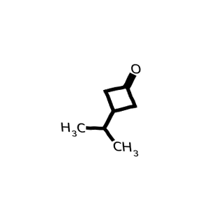 CC(C)C1CC(=O)C1